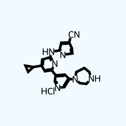 Cl.N#Cc1ccnc(Nc2cc(C3CC3)cc(-c3cncc(N4CCCNCC4)c3)n2)c1